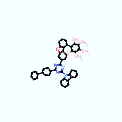 Bc1c(B)c(B)c(-c2cccc3oc4cc(-c5nc(-c6ccc(-c7ccccc7)cc6)nc(-n6c7ccccc7c7ccccc76)n5)ccc4c23)c(B)c1B